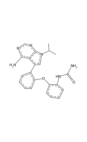 CC(C)n1cc(-c2ccccc2Oc2ccccc2NC(N)=O)c2c(N)ncnc21